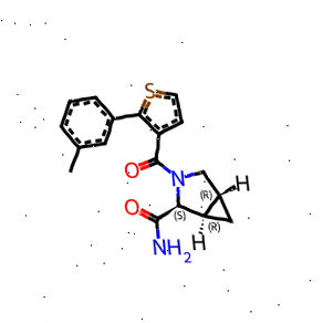 Cc1cccc(-c2sccc2C(=O)N2C[C@@H]3C[C@H]3[C@H]2C(N)=O)c1